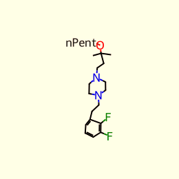 CCCCCOC(C)(C)CCN1CCN(CCc2cccc(F)c2F)CC1